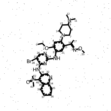 CCOc1cc(N2CCC(N(C)C)CC2)c(/C(C)=N/OC)cc1Nc1ncc(Br)c(Nc2cnc3ccccc3c2P(C)(C)=O)n1